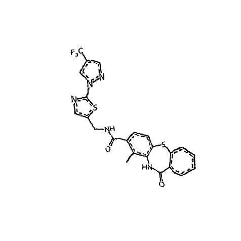 Cc1c(C(=O)NCc2cnc(-n3cc(C(F)(F)F)cn3)s2)ccc2c1NC(=O)c1ccccc1S2